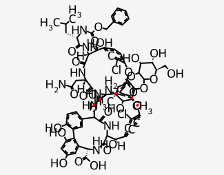 CC(C)C[C@H](NC(=O)OCc1ccccc1)C(=O)N[C@H]1C(=O)N[C@@H](CC(N)=O)C(=O)N[C@H]2C(=O)N[C@H]3C(=O)NC(C(=O)N[C@H](C(=O)O)c4cc(O)cc(O)c4-c4cc3ccc4O)[C@H](O)c3ccc(c(Cl)c3)Oc3cc2cc(c3OC2O[C@H](CO)[C@@H](O)[C@H](O)C2O[C@H]2C[C@](C)(N)[C@H](O)[C@H](C)O2)Oc2ccc(cc2Cl)[C@H]1O